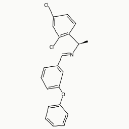 C[C@@H](N=Cc1cccc(Oc2ccccc2)c1)c1ccc(Cl)cc1Cl